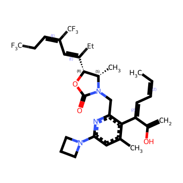 C=C(O)/C(=C\C=C/C)c1c(C)cc(N2CCC2)nc1CN1C(=O)O[C@H](/C(=C/C(=C\CC(F)(F)F)C(F)(F)F)CC)[C@@H]1C